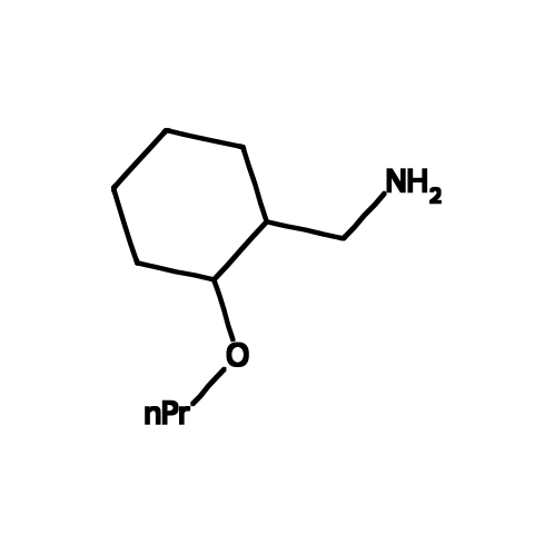 CCCOC1CCCCC1CN